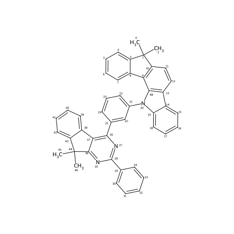 CC1(C)c2ccccc2-c2c1ccc1c3ccccc3n(-c3cccc(-c4nc(-c5ccccc5)nc5c4-c4ccccc4C5(C)C)c3)c21